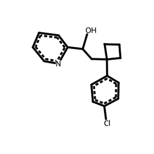 OC(CC1(c2ccc(Cl)cc2)CCC1)c1ccccn1